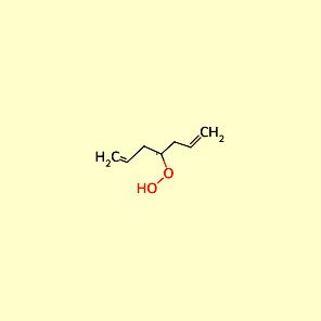 C=CC[C](CC=C)OO